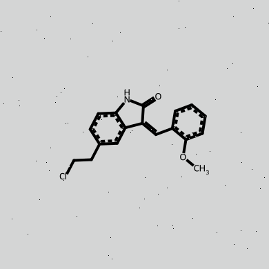 COc1ccccc1C=C1C(=O)Nc2ccc(CCCl)cc21